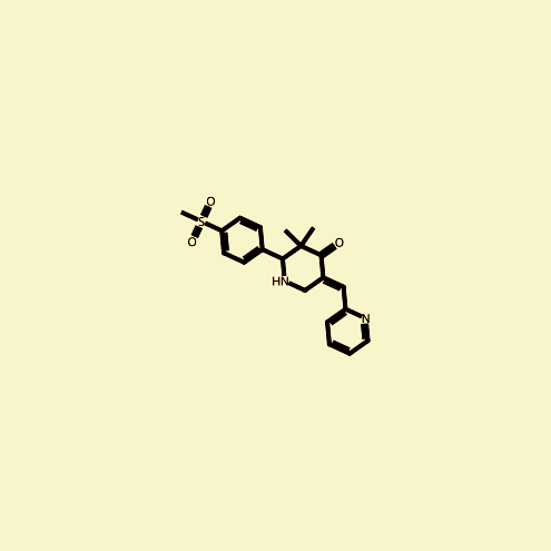 CC1(C)C(=O)C(=Cc2ccccn2)CNC1c1ccc(S(C)(=O)=O)cc1